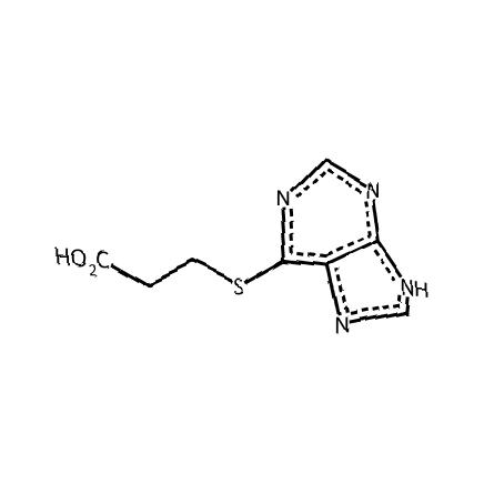 O=C(O)CCSc1ncnc2[nH]cnc12